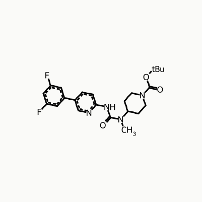 CN(C(=O)Nc1ccc(-c2cc(F)cc(F)c2)cn1)C1CCN(C(=O)OC(C)(C)C)CC1